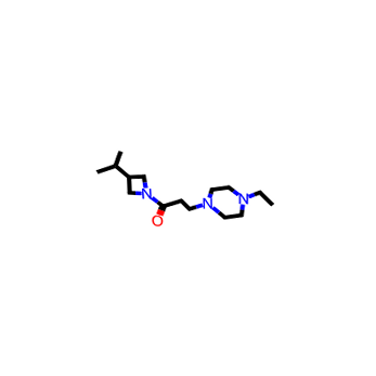 CCN1CCN(CCC(=O)N2CC(C(C)C)C2)CC1